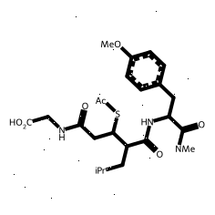 CNC(=O)C(Cc1ccc(OC)cc1)NC(=O)C(CC(C)C)C(CC(=O)NCC(=O)O)SC(C)=O